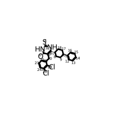 O=c1[nH]c(=S)[nH]c([C@H]2CC[C@H](c3ccccc3)CC2)c1Cc1cccc(Cl)c1Cl